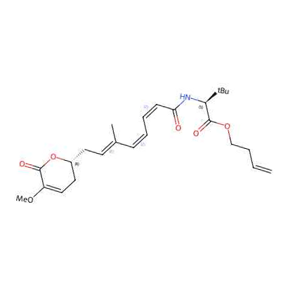 C=CCCOC(=O)[C@@H](NC(=O)\C=C/C=C\C(C)=C\C[C@@H]1CC=C(OC)C(=O)O1)C(C)(C)C